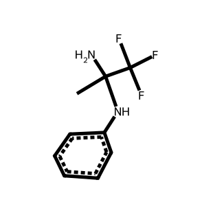 CC(N)(Nc1ccccc1)C(F)(F)F